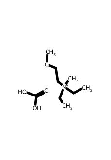 CC[N+](C)(CC)CCOC.O=C(O)O